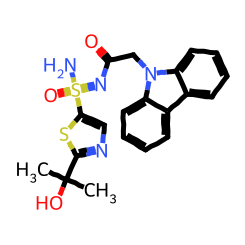 CC(C)(O)c1ncc(S(N)(=O)=NC(=O)Cn2c3ccccc3c3ccccc32)s1